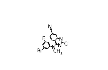 CN(c1cc(F)cc(Br)c1)c1nc(Cl)nc2cc(C#N)ccc12